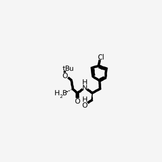 B[C@H](COC(C)(C)C)C(=O)N[C@H](CO)Cc1ccc(Cl)cc1